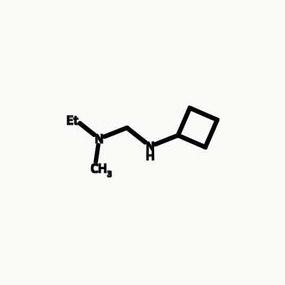 CCN(C)CNC1CCC1